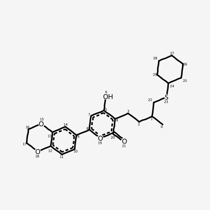 CC(CCc1c(O)cc(-c2ccc3c(c2)OCCO3)oc1=O)CSC1CCCCC1